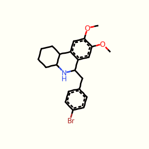 COc1cc2c(cc1OC)C1CCCCC1NC2Cc1ccc(Br)cc1